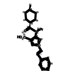 CC(C)N(c1nn(/C=C/c2ccccc2)cc1C(=O)O)C(=O)[C@H]1CC[C@H](C)CC1